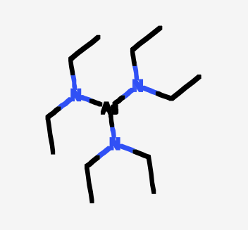 CCN(CC)[As](N(CC)CC)N(CC)CC